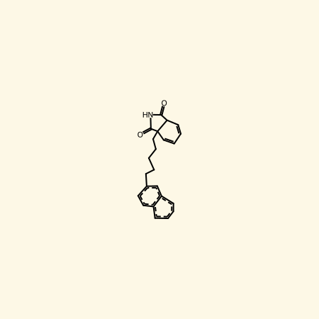 O=C1NC(=O)C2(CCCCCc3ccc4ccccc4c3)C=CC=CC12